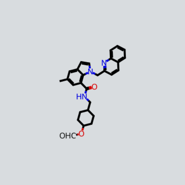 Cc1cc(C(=O)NCC2CCC(OC=O)CC2)c2c(ccn2Cc2ccc3ccccc3n2)c1